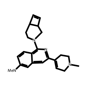 CNc1ccc2c(N3CCC4C=CC4C3)nc(C3=CCN(C)CC3)cc2c1